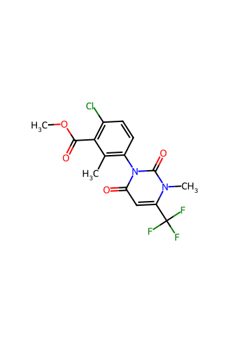 COC(=O)c1c(Cl)ccc(-n2c(=O)cc(C(F)(F)F)n(C)c2=O)c1C